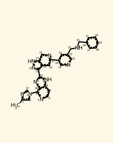 Cc1cn(-c2nccc3[nH]c(-c4n[nH]c5cnc(-c6cncc(CNCc7ccccc7)c6)cc45)nc23)cn1